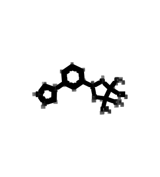 CC1(C)OB(c2cccc(-n3cnnc3)c2)OC1(C)C